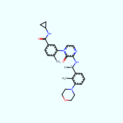 CC[C@@H](Nc1nccn(-c2cc(C(=O)NC3CC3)ccc2C)c1=O)c1cccc(N2CCOCC2)c1C